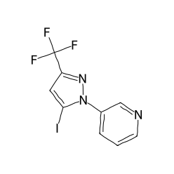 FC(F)(F)c1cc(I)n(-c2cccnc2)n1